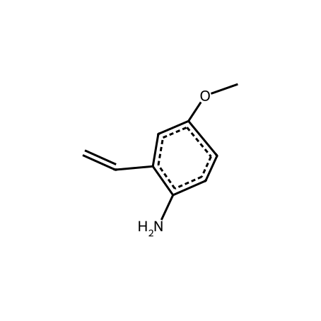 C=Cc1cc(OC)ccc1N